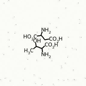 CC(O)C(N)C(=O)O.NC(CC(=O)O)C(=O)O